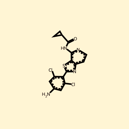 Nc1cc(Cl)c(-c2nc3ccnc(NC(=O)C4CC4)c3s2)c(Cl)c1